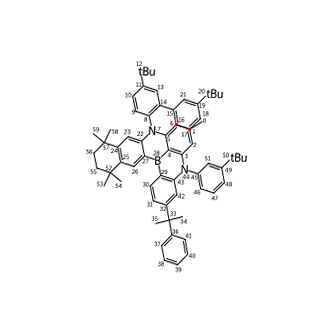 Cc1cc2c3c(c1)N(c1ccc(C(C)(C)C)cc1-c1cccc(C(C)(C)C)c1)c1cc4c(cc1B3c1ccc(C(C)(C)c3ccccc3)cc1N2c1cccc(C(C)(C)C)c1)C(C)(C)CCC4(C)C